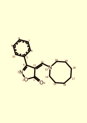 O=C1ON=C(c2ccccc2)/C1=C/N1CCCCCCC1